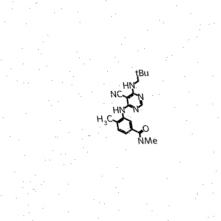 CNC(=O)c1ccc(C)c(Nc2ncnc(NCC(C)(C)C)c2C#N)c1